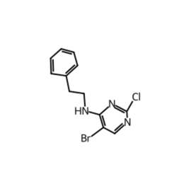 Clc1ncc(Br)c(NCCc2ccccc2)n1